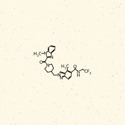 Cc1c(C(=O)NCC(F)(F)F)ccc2nn(CC3CCN(C(=O)c4nc5ccccc5n4C)CC3)cc12